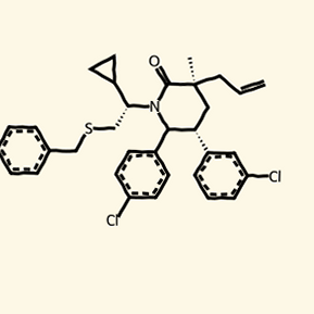 C=CC[C@@]1(C)C[C@H](c2cccc(Cl)c2)C(c2ccc(Cl)cc2)N([C@H](CSCc2ccccc2)C2CC2)C1=O